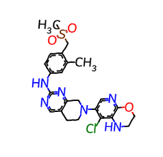 Cc1cc(Nc2ncc3c(n2)CN(c2cnc4c(c2Cl)NCCO4)CC3)ccc1CS(C)(=O)=O